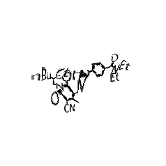 CCCCC(CC)Cn1c(O)c(/N=N/c2ccc(C(=O)N(CC)CC)cc2)c(C)c(C#N)c1=O